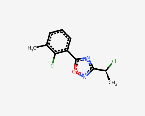 Cc1cccc(-c2nc([C@H](C)Cl)no2)c1Cl